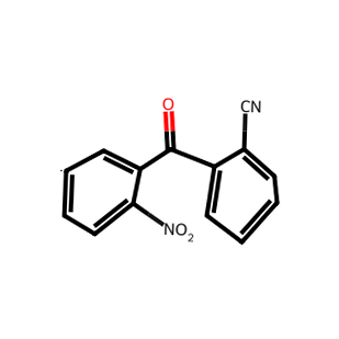 N#Cc1ccccc1C(=O)c1c[c]ccc1[N+](=O)[O-]